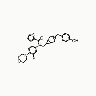 O=C(c1cccs1)N(CC1C2CN(Cc3ccc(O)cc3)CC21)c1ccc(N2CCOCC2)c(F)c1